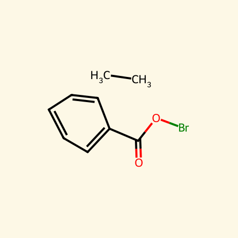 CC.O=C(OBr)c1ccccc1